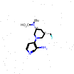 CC(C)(C)N(C(=O)O)[C@@H]1C[C@H](CF)CN(c2ccncc2N)C1